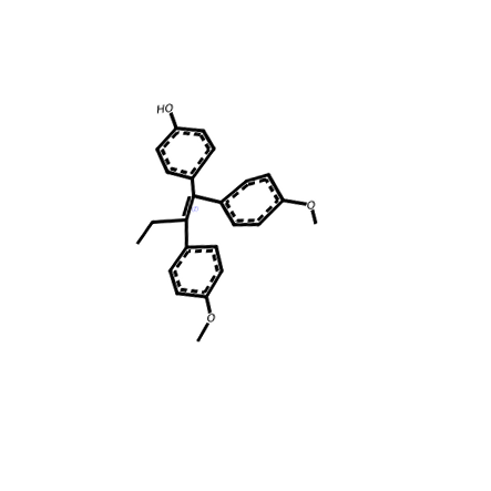 CC/C(=C(\c1ccc(O)cc1)c1ccc(OC)cc1)c1ccc(OC)cc1